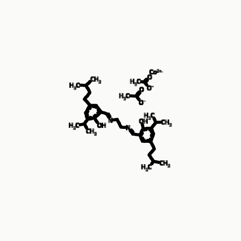 CC(=O)[O-].CC(=O)[O-].CC(C)CCc1cc(C=NCCN=Cc2cc(CCC(C)C)cc(C(C)C)c2O)c(O)c(C(C)C)c1.[Co+2]